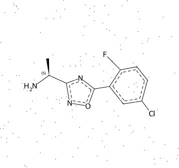 C[C@H](N)c1noc(-c2cc(Cl)ccc2F)n1